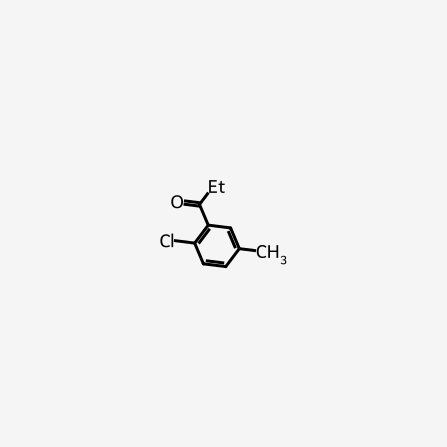 CCC(=O)c1cc(C)ccc1Cl